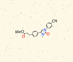 COC(=O)CCc1ccc(-c2cn(-c3ccc(C#N)cc3)c(=O)n2C)cc1